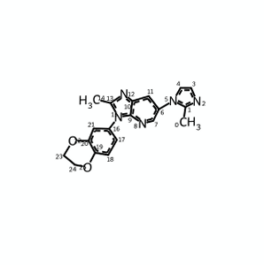 Cc1nccn1-c1cnc2c(c1)nc(C)n2-c1ccc2c(c1)OCCO2